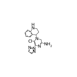 NC1=NC(n2nccn2)=C(Cl)N(C2CCNc3ccccc32)C1